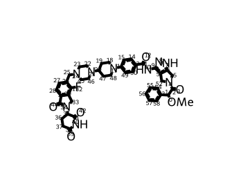 COC(C(=O)N1Cc2[nH]nc(NC(=O)c3ccc(N4CCC(N5CCN(Cc6ccc7c(c6F)CN(C6CCC(=O)NC6=O)C7=O)CC5)CC4)cc3)c2C1)c1ccccc1